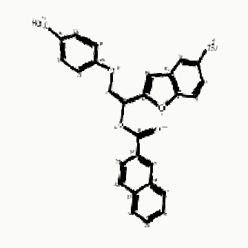 CC(C)(C)c1ccc2oc(C(COc3ccc(C(=O)O)cc3)OC(=O)c3ccc4ccccc4c3)cc2c1